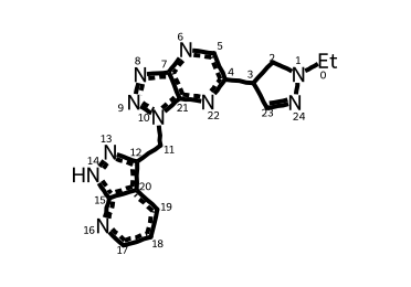 CCN1CC(c2cnc3nnn(Cc4n[nH]c5ncccc45)c3n2)C=N1